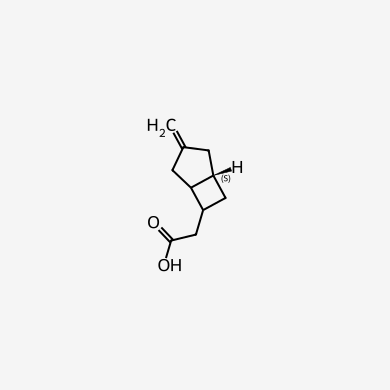 C=C1CC2C(CC(=O)O)C[C@H]2C1